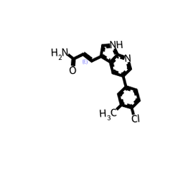 Cc1cc(-c2cnc3[nH]cc(/C=C/C(N)=O)c3c2)ccc1Cl